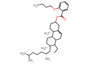 [CH2]CC[CH]Oc1ccccc1C(=O)OC1CC[C@@]2(C)C(=CCC3C2CC[C@@]2(C)C3CC[C@@H]2[C@H](C)CCCC(C)C)C1